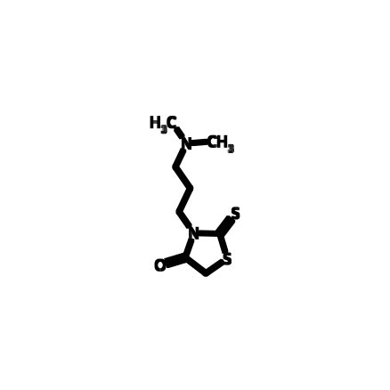 CN(C)CCCN1C(=O)CSC1=S